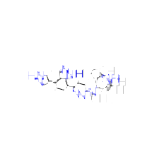 CN(c1ccc(-c2ccc(-c3cn[nH]c3)c3cn[nH]c23)nn1)C1CC(C)(C)NC(C)(C)C1